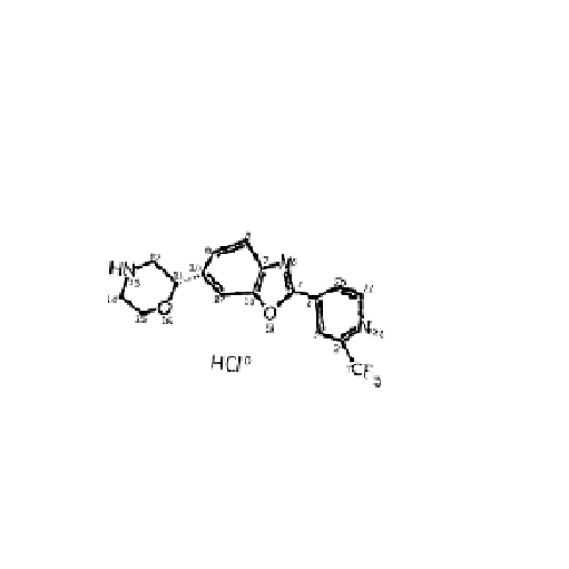 Cl.FC(F)(F)c1cc(-c2nc3ccc([C@H]4CNCCO4)cc3o2)ccn1